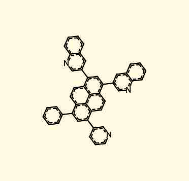 c1ccc(-c2cc(-c3cccnc3)c3ccc4c(-c5cnc6ccccc6c5)cc(-c5cnc6ccccc6c5)c5ccc2c3c54)cc1